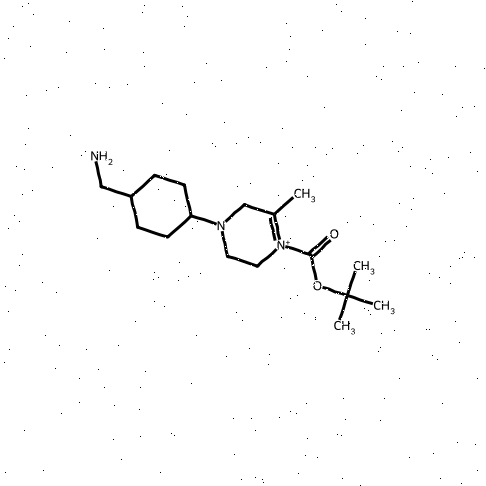 CC1=[N+](C(=O)OC(C)(C)C)CCN(C2CCC(CN)CC2)C1